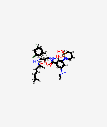 CCNc1cc(C(=O)N[C@@H](Cc2cc(F)cc(F)c2)[C@@H](O)CNC(C)CCCC(C)C)cc(N2CCCCS2(O)O)c1